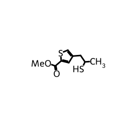 COC(=O)c1cc(CC(C)S)cs1